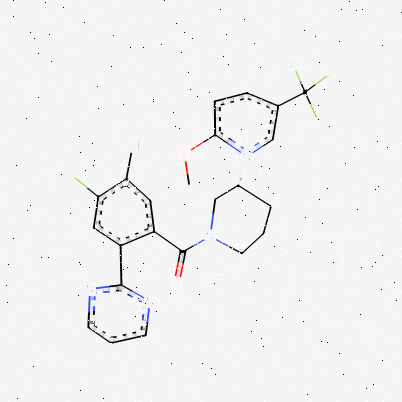 Cc1cc(C(=O)N2CCC[C@@H](C)[C@H]2COc2ccc(C(F)(F)F)cn2)c(-c2ncccn2)cc1F